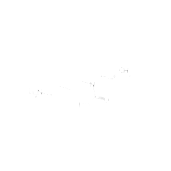 C=CCN(CCCCN)C(=O)O